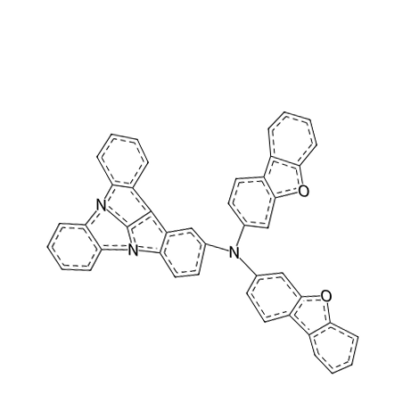 c1ccc2c(c1)oc1cc(N(c3ccc4c(c3)oc3ccccc34)c3ccc4c(c3)c3c5ccccc5n5c6ccccc6n4c35)ccc12